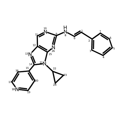 C(=Cc1ccccc1)Nc1ncc2nc(-c3ccncc3)n(C3CC3)c2n1